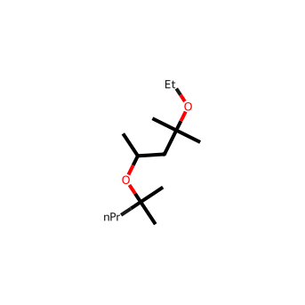 CCCC(C)(C)OC(C)CC(C)(C)OCC